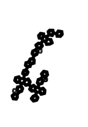 c1ccc(-c2cccc(-c3c4ccccc4c(-c4ccc5c(c4)oc4cc(-c6ccc7cc(-c8ccc(-c9c%10ccccc%10c(-c%10ccc%11c(c%10)oc%10ccccc%10%11)c%10cc(-c%11ccc%12c(-c%13ccccc%13)c%13ccccc%13c(-c%13ccc%14c(c%13)oc%13ccccc%13%14)c%12c%11)ccc9%10)cc8)ccc7c6)ccc45)c4ccccc34)c2)cc1